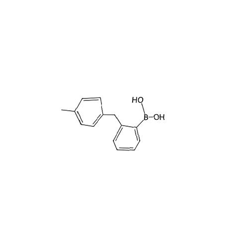 Cc1ccc(Cc2ccccc2B(O)O)cc1